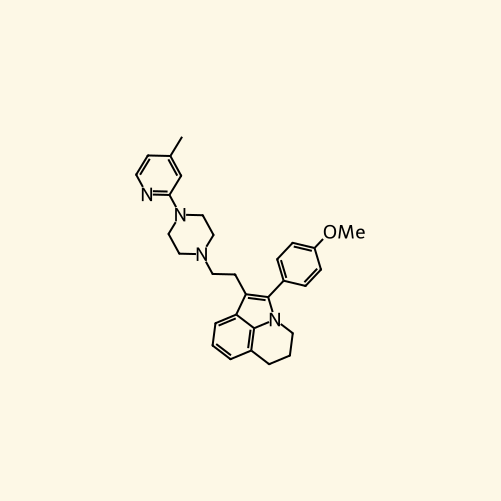 COc1ccc(-c2c(CCN3CCN(c4cc(C)ccn4)CC3)c3cccc4c3n2CCC4)cc1